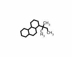 CCC(C)(C)C1CCCC2C3CCCCC3CCC21